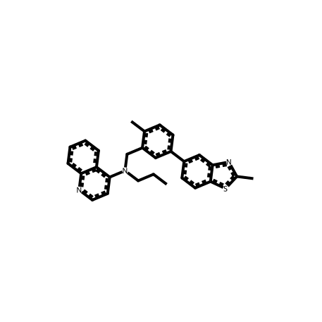 CCCN(Cc1cc(-c2ccc3sc(C)nc3c2)ccc1C)c1ccnc2ccccc12